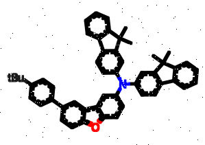 CC(C)(C)c1ccc(-c2ccc3oc4ccc(N(c5ccc6c(c5)C(C)(C)c5ccccc5-6)c5ccc6c(c5)C(C)(C)c5ccccc5-6)cc4c3c2)cc1